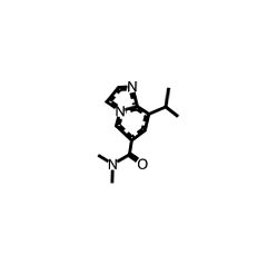 CC(C)c1cc(C(=O)N(C)C)cn2ccnc12